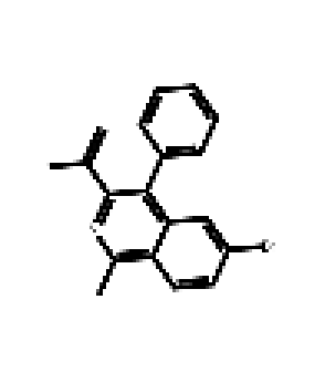 C=C(C)c1nc(C)c2ccc(Br)cc2c1-c1ccccc1